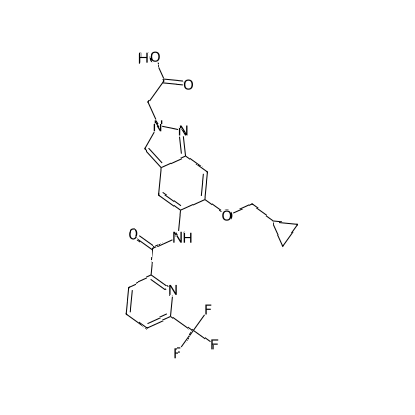 O=C(O)Cn1cc2cc(NC(=O)c3cccc(C(F)(F)F)n3)c(OCC3CC3)cc2n1